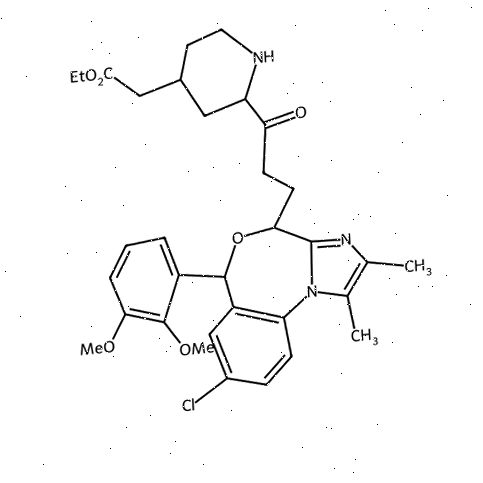 CCOC(=O)CC1CCNC(C(=O)CCC2OC(c3cccc(OC)c3OC)c3cc(Cl)ccc3-n3c2nc(C)c3C)C1